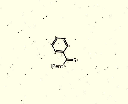 CCCC(C)C(=S)c1ccccc1